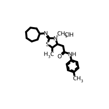 Cc1ccc(NC(=O)CC2C(C)SC(=NC3CCCCCC3)N2C)cc1.Cl